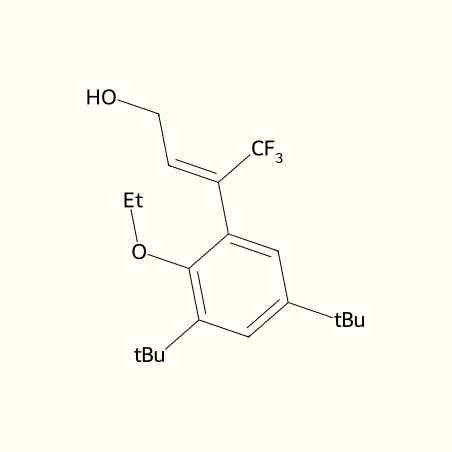 CCOc1c(C(=CCO)C(F)(F)F)cc(C(C)(C)C)cc1C(C)(C)C